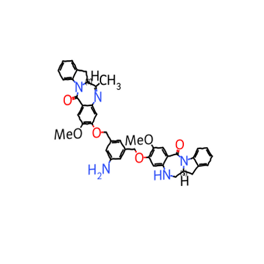 COc1cc2c(cc1OCc1cc(N)cc(COc3cc4c(cc3OC)C(=O)N3c5ccccc5C[C@H]3CN4)c1)N=C(C)[C@@H]1Cc3ccccc3N1C2=O